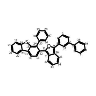 c1ccc(-c2cccc(-c3oc(-c4ccc5c(sc6ccccc65)c4-c4ccccc4)c4ccccc34)c2)cc1